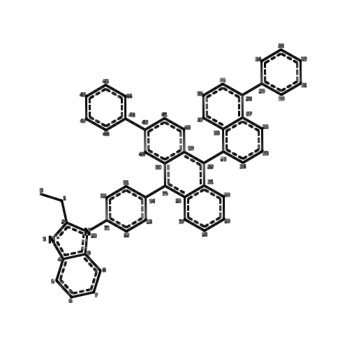 CCc1nc2ccccc2n1-c1ccc(-c2c3ccccc3c(-c3cccc4c(-c5ccccc5)cccc34)c3ccc(-c4ccccc4)cc23)cc1